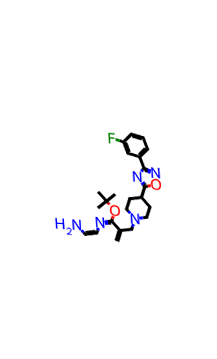 C=C(CN1CCC(c2nc(-c3cccc(F)c3)no2)CC1)/C(=N\C=C/N)OC(C)(C)C